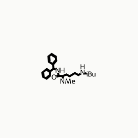 CCC(C)NCCCCC(NC)C(=O)NC(c1ccccc1)c1ccccc1